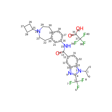 CC(C)n1c(C(F)(F)F)nc2cc(C(=O)Nc3ccc4c(c3)CCN(C3CCC3)CC4)ccc21.O=C(O)C(F)(F)F